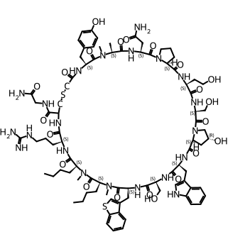 CCCC[C@H]1C(=O)N(C)[C@@H](CCCC)C(=O)N[C@@H](CCCNC(=N)N)C(=O)NC(C(=O)NCC(N)=O)CSCC(=O)N[C@@H](Cc2ccc(O)cc2)C(=O)N(C)[C@@H](C)C(=O)N[C@@H](CC(N)=O)C(=O)N2CCC[C@H]2C(=O)N[C@@H](CCO)C(=O)N[C@@H](CO)C(=O)N2C[C@H](O)C[C@H]2C(=O)N[C@@H](Cc2c[nH]c3ccccc23)C(=O)N[C@@H](CO)C(=O)N[C@@H](Cc2csc3ccccc23)C(=O)N1C